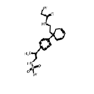 CC(C)CC(=O)NCCC1(c2ccc(C(C)CNS(=O)(=O)C(C)C)cc2)C=CC=CC1